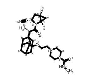 CNC(=O)N1CCN(CCOC23CC4CC(C2)CC([C@H](N)C(=O)N2[C@H](C#N)C[C@@H]5C[C@@H]52)(C4)C3)CC1